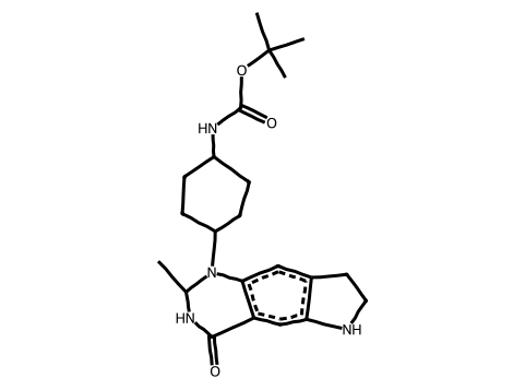 CC1NC(=O)c2cc3c(cc2N1C1CCC(NC(=O)OC(C)(C)C)CC1)CCN3